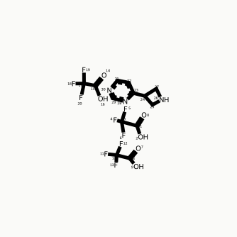 O=C(O)C(F)(F)F.O=C(O)C(F)(F)F.O=C(O)C(F)(F)F.c1cc(C2CNC2)ncn1